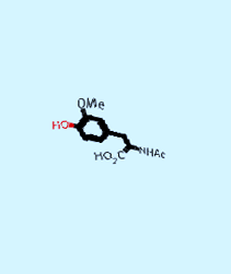 COc1cc(CC(NC(C)=O)C(=O)O)ccc1O